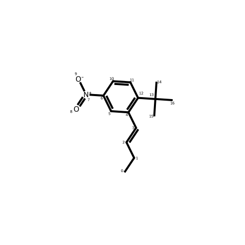 CCC=Cc1cc([N+](=O)[O-])ccc1C(C)(C)C